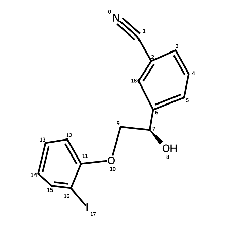 N#Cc1cccc([C@@H](O)COc2ccccc2I)c1